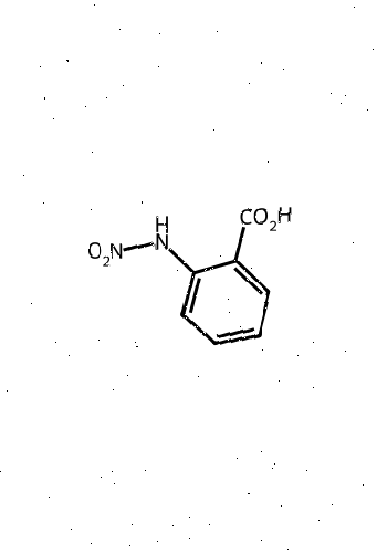 O=C(O)c1ccccc1N[N+](=O)[O-]